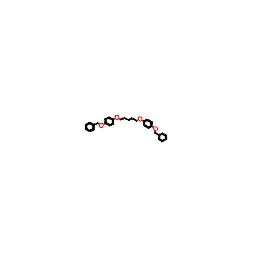 c1ccc(COc2ccc(OCCCCCOc3ccc(OCc4ccccc4)cc3)cc2)cc1